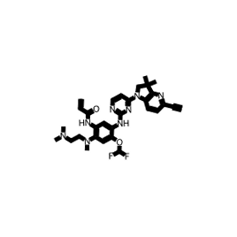 C#Cc1ccc2c(n1)C(C)(C)CN2c1ccnc(Nc2cc(NC(=O)C=C)c(N(C)CCN(C)C)cc2OC(F)F)n1